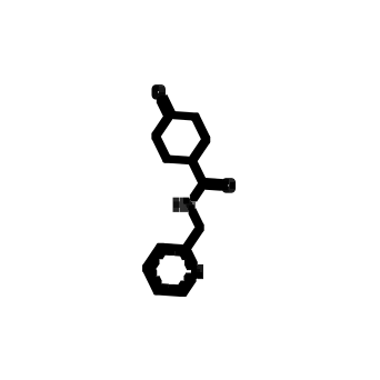 O=C1CCC(C(=O)NCc2ccccn2)CC1